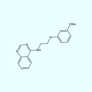 COc1cccc(OCCNc2ncnc3ccccc23)c1